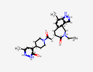 Cc1cc(C2CCN(C(=O)C[C@@H]3Cc4cc(C)c5[nH]ncc5c4CN(CC(C)(C)C)C3=O)CC2)c(=O)[nH]n1